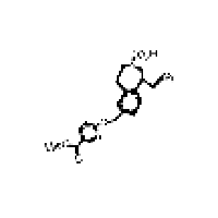 COC(=O)c1ccc(OCc2ccc3c(c2)CCN(C(=O)O)CC3CC(C)C)nc1